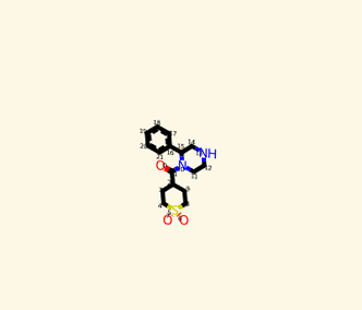 O=C(C1CCS(=O)(=O)CC1)N1CCNCC1c1ccccc1